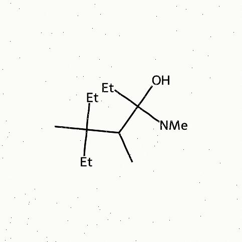 CCC(C)(CC)C(C)C(O)(CC)NC